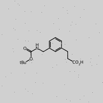 CC(C)(C)OC(=O)NCc1cccc(CCC(=O)O)c1